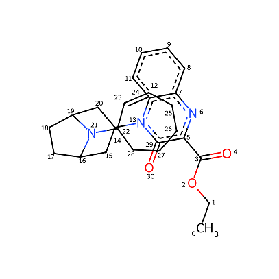 CCOC(=O)c1nc2ccccc2n(C2CC3CCC(C2)N3C2C=CCCCC2)c1=O